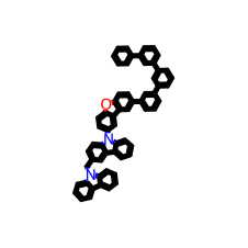 c1ccc(-c2cccc(-c3cccc(-c4cccc(-c5ccc6oc7ccc(-n8c9ccccc9c9cc(Cn%10c%11ccccc%11c%11ccccc%11%10)ccc98)cc7c6c5)c4)c3)c2)cc1